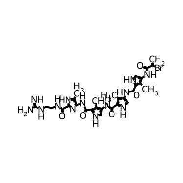 C=C(Br)C(=O)Nc1c[nH]c(C(=O)Nc2c[nH]c(C(=O)Nc3c[nH]c(C(=O)Nc4nc(C(=O)NCCNC(=N)N)[nH]c4C)c3C)c2C)c1C